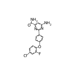 NC(=O)c1cc(N)nc(-c2ccc(Oc3ccc(Cl)cc3F)cc2)n1